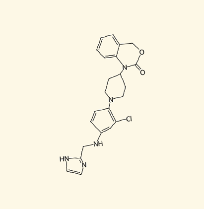 O=C1OCc2ccccc2N1C1CCN(c2ccc(NCc3ncc[nH]3)cc2Cl)CC1